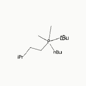 CCCCP(C)(C)(CCC(C)C)C(C)(C)C